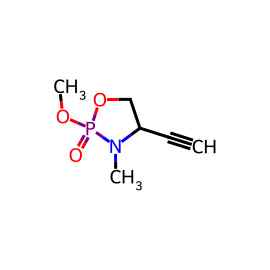 C#CC1COP(=O)(OC)N1C